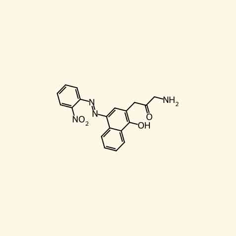 NCC(=O)Cc1cc(N=Nc2ccccc2[N+](=O)[O-])c2ccccc2c1O